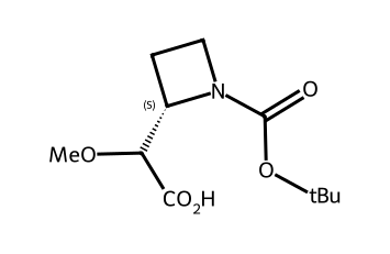 COC(C(=O)O)[C@@H]1CCN1C(=O)OC(C)(C)C